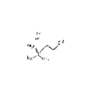 C[N+](C)(C)CCO.Cl.[Ca+2]